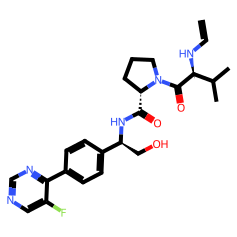 C=CN[C@H](C(=O)N1CCC[C@H]1C(=O)N[C@@H](CO)c1ccc(-c2ncncc2F)cc1)C(C)C